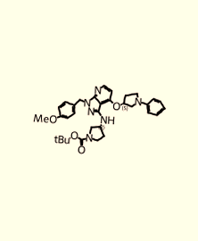 COc1ccc(Cn2nc(N[C@@H]3CCN(C(=O)OC(C)(C)C)C3)c3c(O[C@H]4CCN(c5ccccc5)C4)ccnc32)cc1